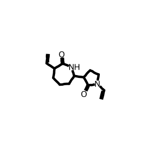 C=CC1CCCC(C2CCN(C=C)C2=O)NC1=O